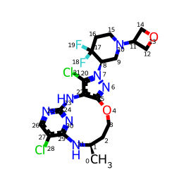 C[C@@H]1CCOc2nn([C@@H]3CN(C4COC4)CCC3(F)F)c(Cl)c2Nc2ncc(Cl)c(n2)N1